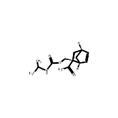 CC(=O)[C@]1(COC(=O)NC(C)C)C[C@@H]2C=C[C@H]1C2